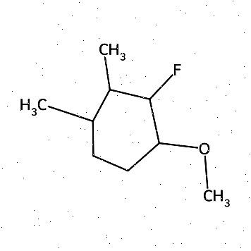 COC1CCC(C)C(C)C1F